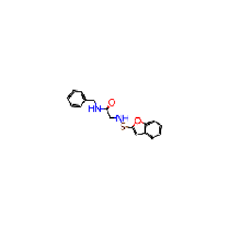 O=C(CNSc1cc2ccccc2o1)NCc1ccccc1